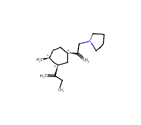 C=C(CN1CCCC1)[C@@H]1CC[C@H](C)[C@H](C(=C)CC)C1